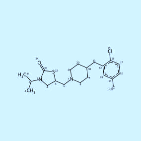 CC(C)N1CC(CN2CCC(Cc3cc(F)ccc3Cl)CC2)SC1=O